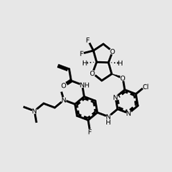 C=CC(=O)Nc1cc(Nc2ncc(Cl)c(O[C@H]3CO[C@@H]4[C@H]3OCC4(F)F)n2)c(F)cc1N(C)CCN(C)C